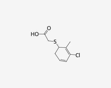 CC1=C(Cl)C=CCC1SCC(=O)O